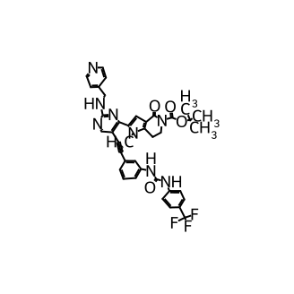 Cn1c(-c2nc(NCc3ccncc3)ncc2C#Cc2cccc(NC(=O)Nc3ccc(C(F)(F)F)cc3)c2)cc2c1CCN(C(=O)OC(C)(C)C)C2=O